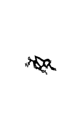 Cn1nc(C(N)=O)c2c1-c1nc(C#N)ncc1CC2